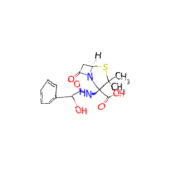 CC1(C)S[C@@H]2CC(=O)N2[C@@]1(NC(=O)C(O)c1ccccc1)C(=O)O